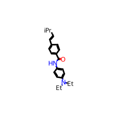 CCN(CC)c1ccc(NC(=O)c2ccc(/C=C/C(C)C)cc2)cc1